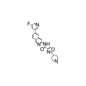 CN1CCC(c2nc(C(=O)Nc3cc4cc(-c5cncc(F)c5)ccc4cn3)co2)CC1